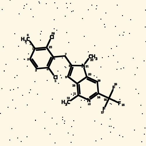 Cc1ccc(Cl)c(Cc2cc3c(C)nc(C(F)(F)F)cc3n2C)c1Cl